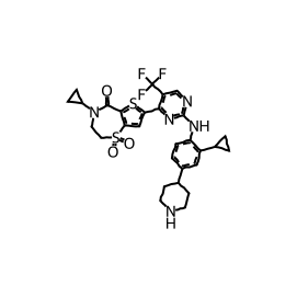 O=C1c2sc(-c3nc(Nc4ccc(C5CCNCC5)cc4C4CC4)ncc3C(F)(F)F)cc2S(=O)(=O)CCN1C1CC1